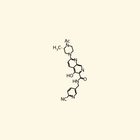 CC(=O)N1CCN(c2ccc3c(O)c(C(=O)NCc4ccc(C#N)nc4)ncc3n2)C[C@@H]1C